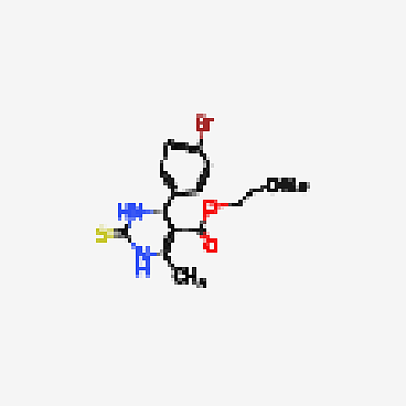 COCCOC(=O)C1=C(C)NC(=S)NC1c1ccc(Br)cc1